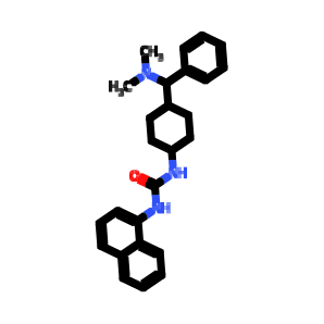 CN(C)C(c1ccccc1)C1CCC(NC(=O)Nc2cccc3ccccc23)CC1